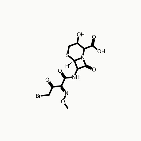 CON=C(C(=O)CBr)C(=O)NC1C(=O)N2C(C(=O)O)C(O)CS[C@H]12